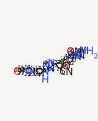 N#Cc1cc(-c2ncnc(Nc3ccc(N4CCN(C5COC5)CC4)cc3)n2)ccc1O[C@H]1CCN(C(=O)c2nc(N)n[nH]2)C[C@@H]1F